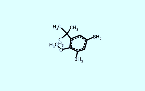 Bc1cc(B)c(OC)c(C(C)(C)C)c1